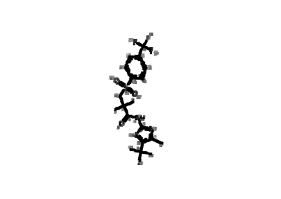 Cc1nc(NC(=O)C(C)(C)CS(=O)(=O)c2ccc(C(F)(F)F)cc2)sc1C(C)(C)C